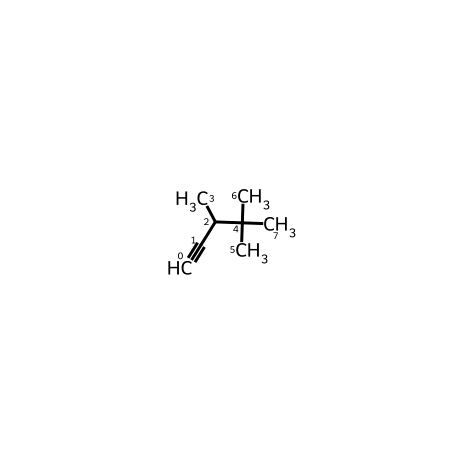 C#CC(C)C(C)(C)C